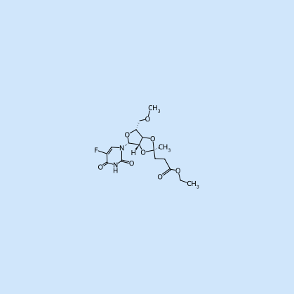 CCOC(=O)CC[C@]1(C)OC2[C@@H](COC)O[C@@H](n3cc(F)c(=O)[nH]c3=O)[C@H]2O1